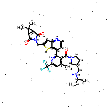 Cc1cc(C(F)(F)F)nc(-c2ccnc3cc(CN4C(=O)C5C(C4=O)C5(C)C)sc23)c1C(=O)N1CC[C@@H](CNC(C)C)C1